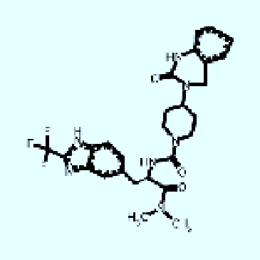 CN(C)C(=O)[C@@H](Cc1ccc2[nH]c(C(F)(F)F)nc2c1)NC(=O)N1CCC(N2Cc3ccccc3NC2=O)CC1